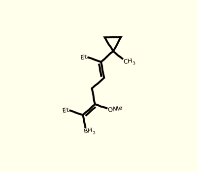 B/C(CC)=C(/C/C=C(\CC)C1(C)CC1)OC